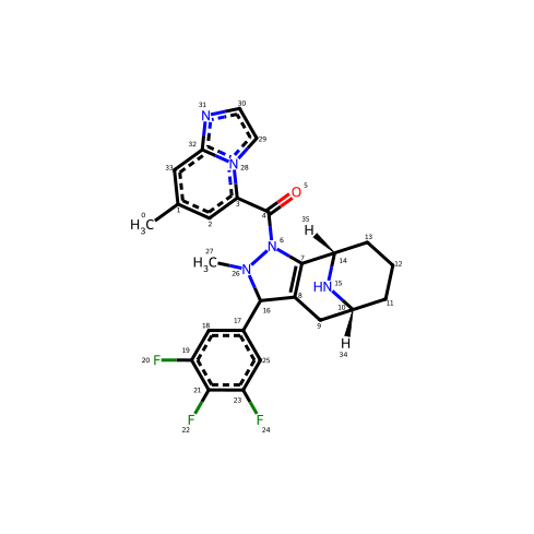 Cc1cc(C(=O)N2C3=C(C[C@H]4CCC[C@@H]3N4)C(c3cc(F)c(F)c(F)c3)N2C)n2ccnc2c1